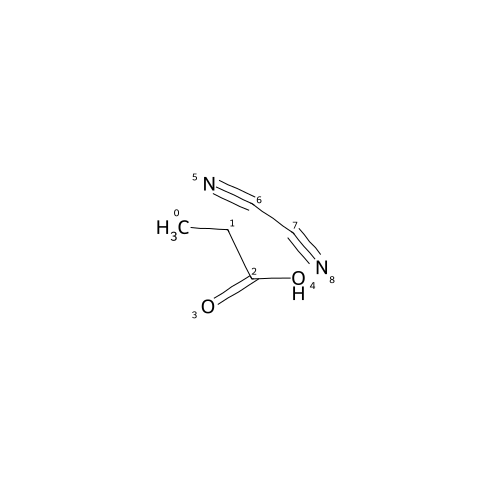 CCC(=O)O.N#CC#N